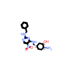 N[C@H]1CC[C@H](CNc2nc(NCc3ccccc3)ncc2[N+](=O)[O-])C[C@H]1O